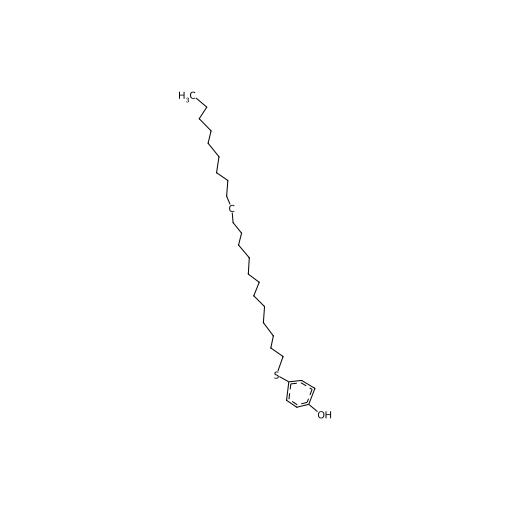 CCCCCCCCCCCCCCCCCCCCCCSc1ccc(O)cc1